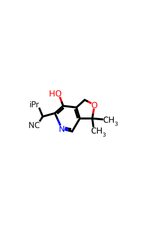 CC(C)C(C#N)c1ncc2c(c1O)COC2(C)C